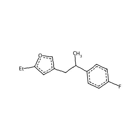 CCc1cc(CC(C)c2ccc(F)cc2)co1